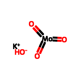 [K+].[OH-].[O]=[Mo](=[O])=[O]